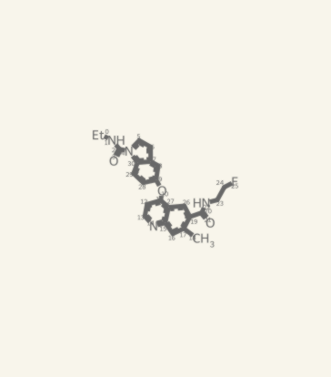 CCNC(=O)n1ccc2cc(Oc3ccnc4cc(C)c(C(=O)NCCF)cc34)ccc21